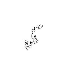 C=CC(=O)N1CC[C@@H]1Cn1ccc2ncnc(Oc3ccc(Oc4ccccc4)cc3)c21